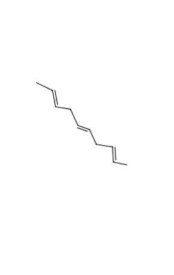 CC=CCC=CCC=CC